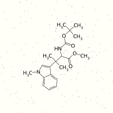 COC(=O)C(NC(=O)OC(C)(C)C)C(C)(C)c1cn(C)c2ccccc12